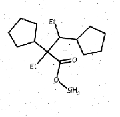 CCC(C1CCCC1)C(CC)(C(=O)O[SiH3])C1CCCC1